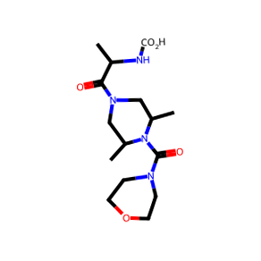 CC(NC(=O)O)C(=O)N1CC(C)N(C(=O)N2CCOCC2)C(C)C1